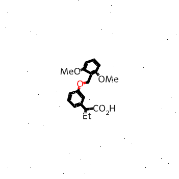 CCC(C(=O)O)c1cccc(OCc2c(OC)cccc2OC)c1